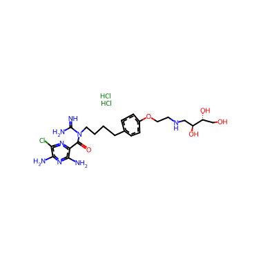 Cl.Cl.N=C(N)N(CCCCc1ccc(OCCNC[C@H](O)[C@H](O)CO)cc1)C(=O)c1nc(Cl)c(N)nc1N